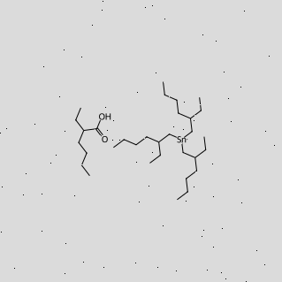 CCCCC(CC)C(=O)O.CCCCC(CC)[CH2][Sn]([CH2]C(CC)CCCC)[CH2]C(CC)CCCC